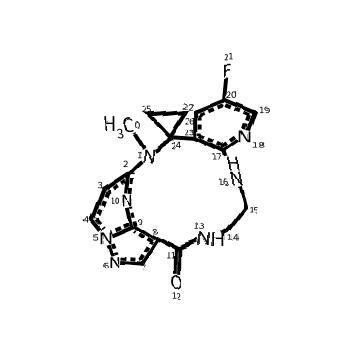 CN1c2ccn3ncc(c3n2)C(=O)NCCNc2ncc(F)cc2C12CC2